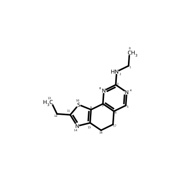 CCNc1ncc2c(n1)-c1sc(CC)nc1CC2